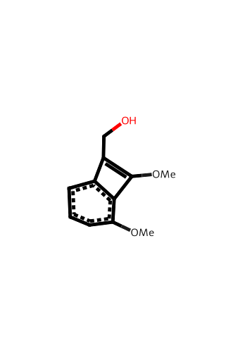 COC1=C(CO)c2cccc(OC)c21